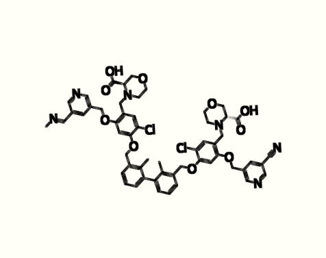 C/N=C/c1cncc(COc2cc(OCc3cccc(-c4cccc(COc5cc(OCc6cncc(C#N)c6)c(CN6CCOC[C@@H]6C(=O)O)cc5Cl)c4C)c3C)c(Cl)cc2CN2CCOC[C@@H]2C(=O)O)c1